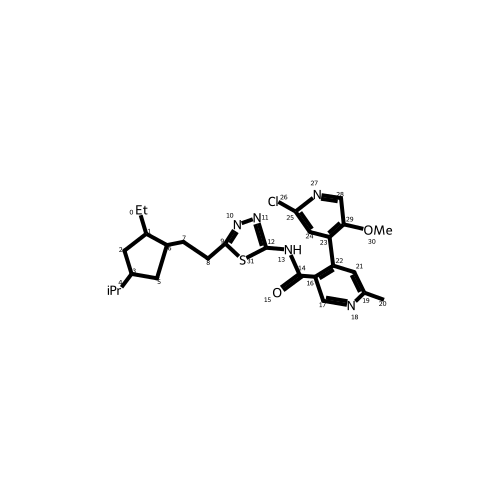 CCC1CC(C(C)C)CC1CCc1nnc(NC(=O)c2cnc(C)cc2-c2cc(Cl)ncc2OC)s1